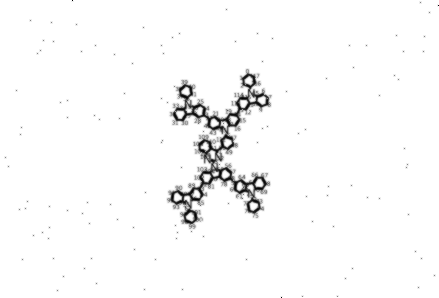 c1ccc(-n2c3ccccc3c3cc(-c4ccc5c(c4)c4cc(-c6ccc7c(c6)c6ccccc6n7-c6ccccc6)ccc4n5-c4cccc(-c5nc(-n6c7ccc(-c8ccc9c(c8)c8ccccc8n9-c8ccccc8)cc7c7cc(-c8ccc9c(c8)c8ccccc8n9-c8ccccc8)ccc76)nc6ccccc56)c4)ccc32)cc1